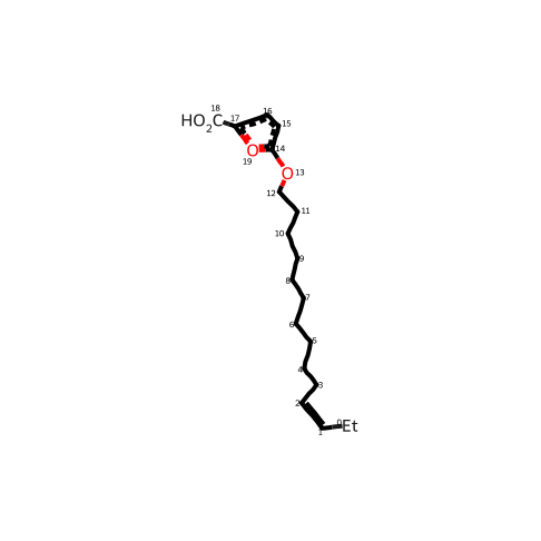 CC/C=C\CCCCCCCCCCOc1ccc(C(=O)O)o1